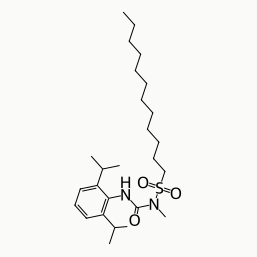 CCCCCCCCCCCCS(=O)(=O)N(C)C(=O)Nc1c(C(C)C)cccc1C(C)C